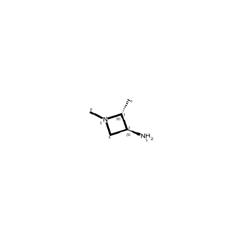 C[C@@H]1[C@@H](N)CN1C